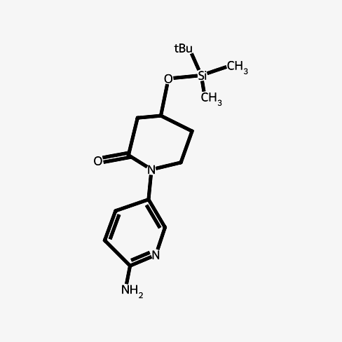 CC(C)(C)[Si](C)(C)OC1CCN(c2ccc(N)nc2)C(=O)C1